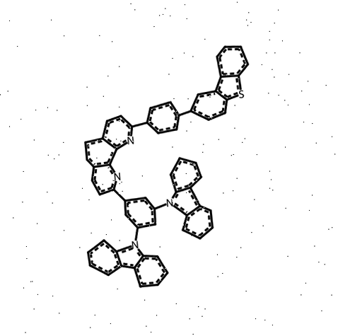 c1ccc2c(c1)sc1ccc(-c3ccc(-c4ccc5ccc6ccc(-c7cc(-n8c9ccccc9c9ccccc98)cc(-n8c9ccccc9c9ccccc98)c7)nc6c5n4)cc3)cc12